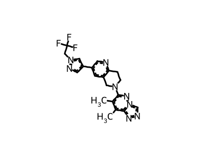 Cc1c(N2CCc3ncc(-c4cnn(CC(F)(F)F)c4)cc3C2)nn2cnnc2c1C